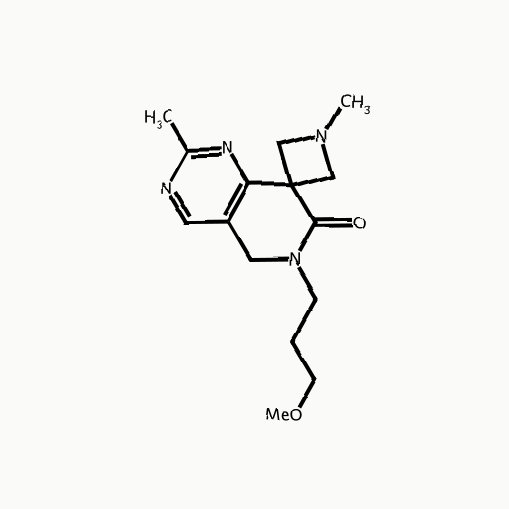 COCCCN1Cc2cnc(C)nc2C2(CN(C)C2)C1=O